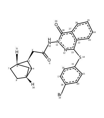 O=C(C[C@H]1C[C@@H]2CC[C@H]1C2)Nn1nc(Sc2ccc(Br)cc2)c2ccccc2c1=O